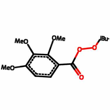 CC[C](C)OOC(=O)c1ccc(OC)c(OC)c1OC